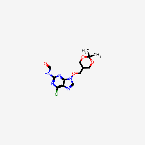 CC1(C)OCC(COn2cnc3c(Cl)nc(NC=O)nc32)CO1